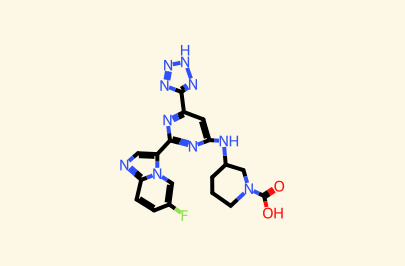 O=C(O)N1CCCC(Nc2cc(-c3nn[nH]n3)nc(-c3cnc4ccc(F)cn34)n2)C1